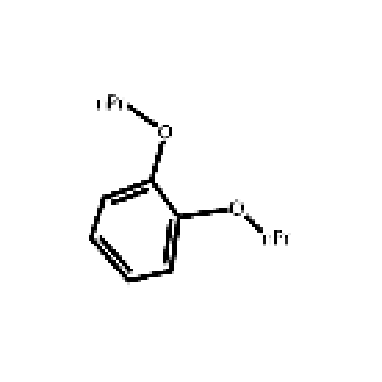 CCCOc1c[c]ccc1OCCC